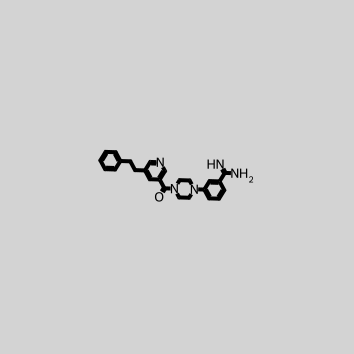 N=C(N)c1cccc(N2CCN(C(=O)c3cncc(CCc4ccccc4)c3)CC2)c1